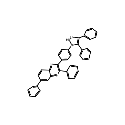 c1ccc(C2=C(c3ccccc3)N(c3ccc(-c4nc5ccc(-c6ccccc6)cc5nc4-c4ccccc4)cc3)NN2)cc1